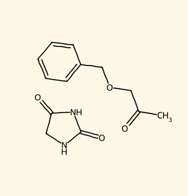 CC(=O)COCc1ccccc1.O=C1CNC(=O)N1